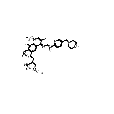 C=N/C=C(F)\C(=N/CNc1ccc(CN2CCNCC2)cn1)c1cc(F)c(N=C)c(CCC(COC)NC)c1